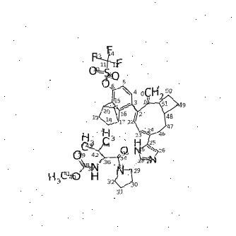 C=C1/C(c2ccc(OS(=O)(=O)C(F)(F)F)c3c2C2CCC3C2)=C\C=C(\c2cnc([C@@H]3CCCN3C(=O)[C@@H](NC(=O)OC)C(C)C)[nH]2)CCC2CCC12